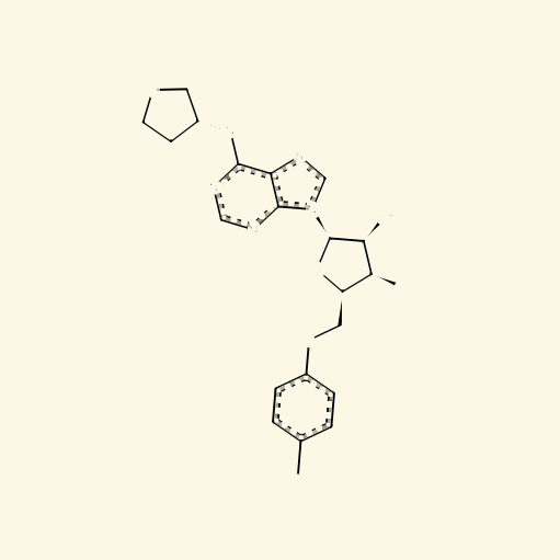 Cc1ccc(SC[C@H]2O[C@@H](n3cnc4c(N[C@@H]5CCOC5)ncnc43)[C@@H](O)[C@H]2O)cc1